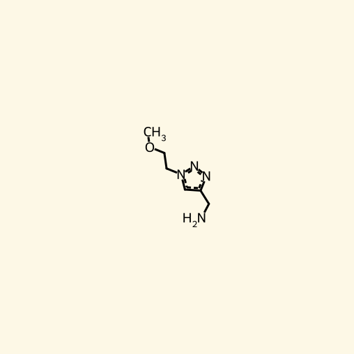 COCCn1cc(CN)nn1